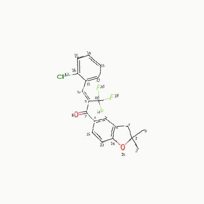 CC1(C)Cc2cc(C(=O)C(=Cc3ccccc3Cl)C(F)(F)F)ccc2O1